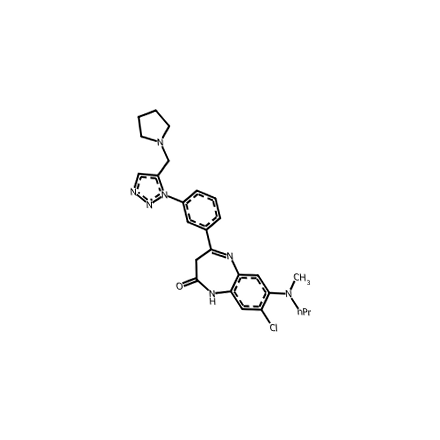 CCCN(C)c1cc2c(cc1Cl)NC(=O)CC(c1cccc(-n3nncc3CN3CCCC3)c1)=N2